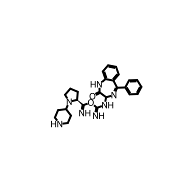 N=C(NC1N=C(c2ccccc2)c2ccccc2NC1=O)OC(=N)[C@@H]1CCCN1C1CCNCC1